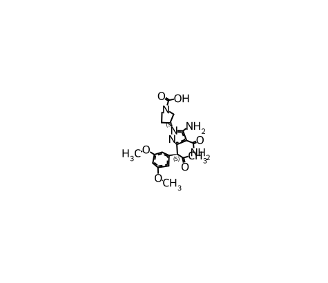 COc1cc(OC)cc([C@H](C(C)=O)c2nn([C@H]3CCN(C(=O)O)C3)c(N)c2C(N)=O)c1